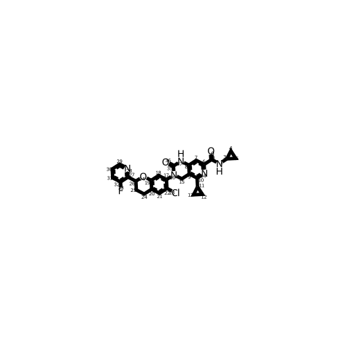 O=C(NC1CC1)c1cc2c(c(C3CC3)n1)CN(c1cc3c(cc1Cl)CCC(c1ncccc1F)O3)C(=O)N2